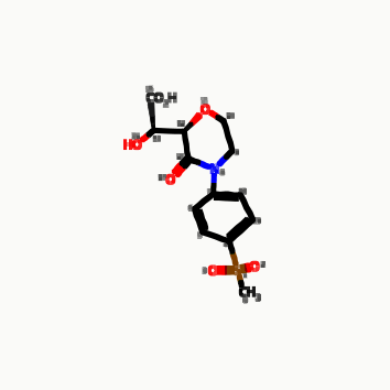 CS(=O)(=O)c1ccc(N2CCO[C@H]([C@@H](O)C(=O)O)C2=O)cc1